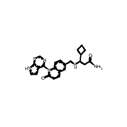 NC(=O)CC(NCc1ccc2c(ccc(=O)n2-c2ncnc3[nH]ccc23)c1)C1CCC1